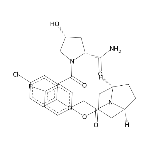 NC(=O)[C@H]1C[C@@H](O)CN1C(=O)c1cc(Cl)ccc1OCC(=O)N1[C@@H]2CC[C@H]1CC(Oc1ccc(F)cc1)C2